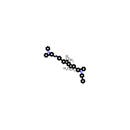 CC1(C)c2cc(-c3ccc(/C=C/c4ccc5c(c4)c4ccccc4n5-c4ccccc4)cc3)ccc2-c2cc3c(cc21)-c1ccc(-c2ccc4c(c2)c2ccccc2n4-c2ccc(-c4ccccc4)cc2)cc1C3(C)C